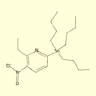 CCC[CH2][Sn]([CH2]CCC)([CH2]CCC)[c]1ccc([N+](=O)[O-])c(CC)n1